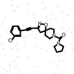 O=C(N1CCCC1)N1CCC2(CC1)CC(C#Cc1cccc(Cl)c1)=NO2